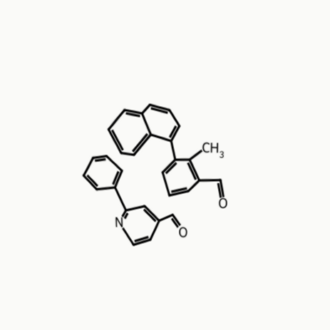 Cc1c(C=O)cccc1-c1cccc2ccccc12.O=Cc1ccnc(-c2ccccc2)c1